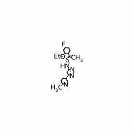 CCOc1cc(F)ccc1[C@H](C)SCNc1cc(-c2ccc(C)nc2)ncn1